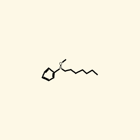 CCCCCCCN(OC)c1ccccc1